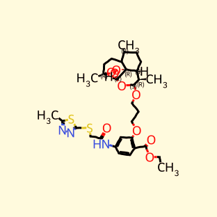 CCOC(=O)c1ccc(NC(=O)CSc2nnc(C)s2)cc1OCCCO[C@H]1O[C@@H]2O[C@@]3(C)CCC4[C@H](C)CC[C@@H]([C@H]1C)[C@]42OO3